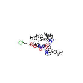 CC1(CCCCS(=O)(=O)O)C(/C=C/C2=C(Oc3ccc(C(=O)NCCOCCOCCCCCCCl)cc3)C(=C/C=C3/N4CCCc5ccc(S(=O)(=O)O)c(c54)C3(C)CCCCS(=O)(=O)O)/CCC2)=[N+]2CCCc3ccc(S(=O)(=O)O)c1c32.[NaH]